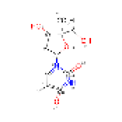 Cc1cn([C@H]2CC(O)[C@](CO)(C(=O)O)O2)c(=O)[nH]c1=O